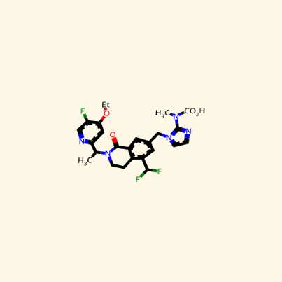 CCOc1cc(C(C)N2CCc3c(cc(Cn4ccnc4N(C)C(=O)O)cc3C(F)F)C2=O)ncc1F